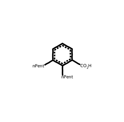 CCCCCc1cccc(C(=O)O)c1CCCCC